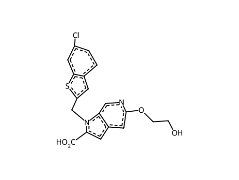 O=C(O)c1cc2cc(OCCO)ncc2n1Cc1cc2ccc(Cl)cc2s1